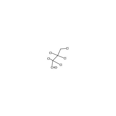 O=[C]C(Cl)(Cl)C(Cl)(Cl)CCl